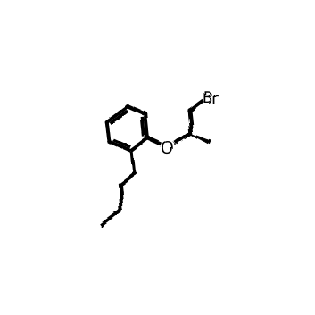 CCCCc1ccccc1O[C@H](C)CBr